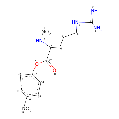 N=C(N)NCCCC(N[N+](=O)[O-])C(=O)Oc1ccc([N+](=O)[O-])cc1